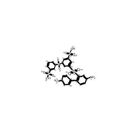 Nc1ccc(-c2ccc(N)cc2S(=O)(=O)c2cc(S(=O)(=O)O)cc(S(=O)(=O)c3cccc(S(=O)(=O)O)c3)c2)cc1